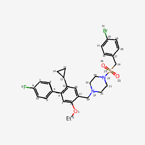 CCOc1cc(-c2ccc(F)cc2)c(C2CC2)cc1CN1CCN(S(=O)(=O)Cc2ccc(Br)cc2)CC1